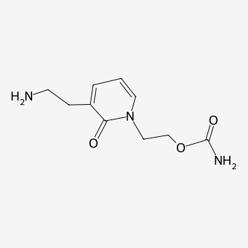 NCCc1cccn(CCOC(N)=O)c1=O